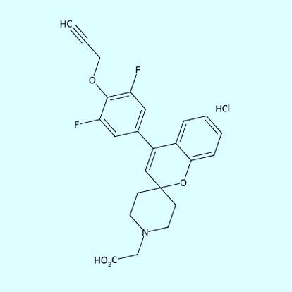 C#CCOc1c(F)cc(C2=CC3(CCN(CC(=O)O)CC3)Oc3ccccc32)cc1F.Cl